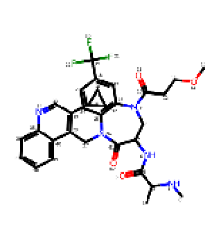 CNC(C)C(=O)NC1CN(C(=O)CCOC)c2cc(C(F)(F)F)ccc2N(Cc2c(C3CC3)cnc3ccccc23)C1=O